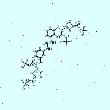 CC(C)(C)OC(=O)[C@H](Cc1cccc(NC(=O)Nc2cccc(C[C@@H](C(=O)OC(C)(C)C)[C@@H]3CCN(C(=O)OC(C)(C)C)C3)c2)c1)[C@@H]1CCN(C(=O)OC(C)(C)C)C1